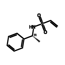 C=CS(=O)(=O)N[C@H](C)c1ccccc1